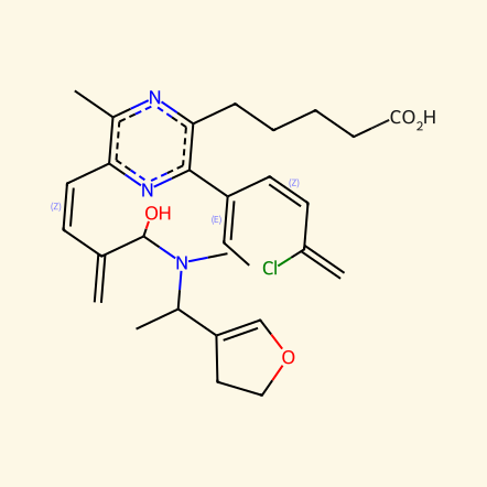 C=C(Cl)/C=C\C(=C/C)c1nc(/C=C\C(=C)C(O)N(C)C(C)C2=COCC2)c(C)nc1CCCCC(=O)O